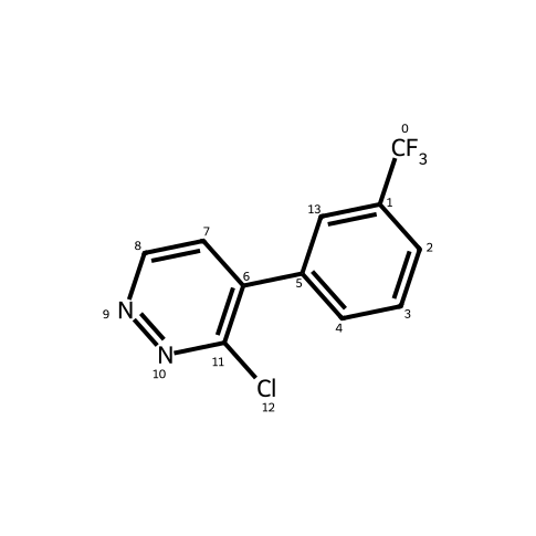 FC(F)(F)c1cccc(-c2ccnnc2Cl)c1